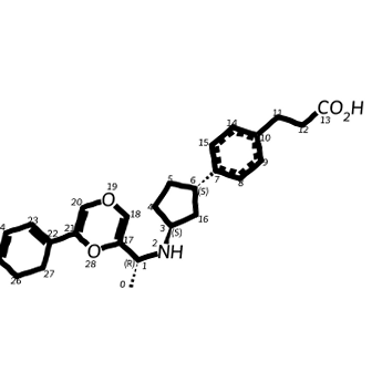 C[C@@H](N[C@H]1CC[C@H](c2ccc(CCC(=O)O)cc2)C1)C1=COC=C(C2=CC=CCC2)O1